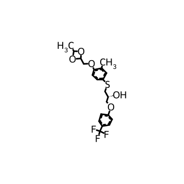 Cc1cc(SC[C@H](O)COc2ccc(C(F)(F)F)cc2)ccc1OCC1OC(C)O1